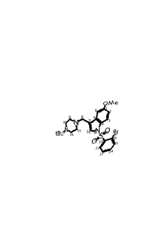 COc1ccc2c(c1)c(CN1CCN(C(C)(C)C)CC1)cn2S(=O)(=O)c1ccccc1Br